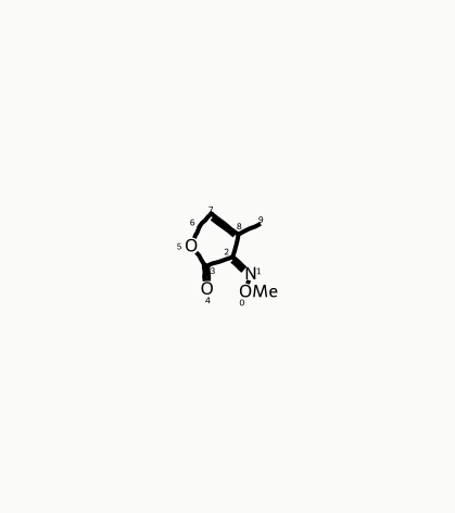 CO/N=C1\C(=O)OCC=C1C